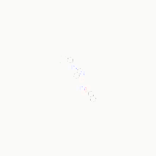 Cc1cc(NCc2ccc(Cl)c(Cl)c2)c2cccc(OCCNS(=O)(=O)c3ccc4ccccc4c3)c2n1